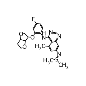 Cc1cc(N=S(C)C)cc2ncnc(Nc3ccc(F)cc3O[C@@H]3COC4CCOC43)c12